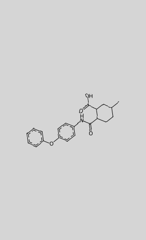 CC1CCC(C(=O)Nc2ccc(Oc3ccccc3)cc2)C(C(=O)O)C1